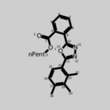 CCCCCOC(=O)c1ccccc1-c1nnc(-c2ccc(C)c(C)c2C)o1